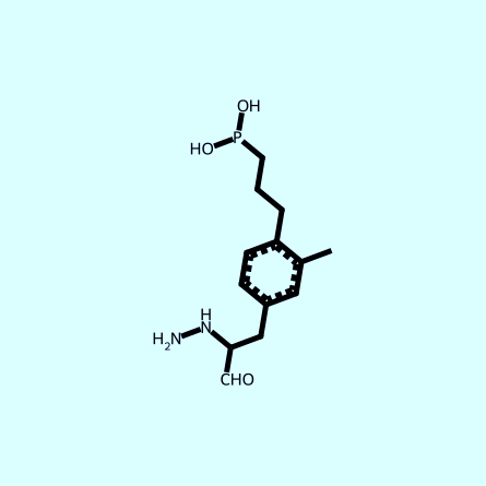 Cc1cc(CC(C=O)NN)ccc1CCCP(O)O